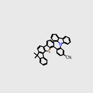 CC1(C)c2ccccc2-c2c1ccc1c2sc2c(-c3ccc(C#N)cc3-n3c4ccccc4c4ccccc43)cccc21